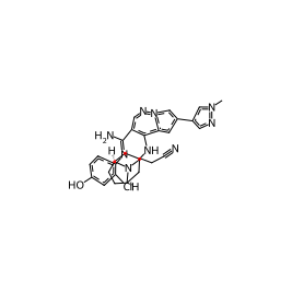 Cn1cc(-c2cc3c(NC4C[C@H]5CC[C@@H](C4)N5CCC#N)c(C(N)=Nc4ccc(O)cc4Cl)cnn3c2)cn1